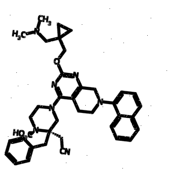 CN(C)CC1(COc2nc3c(c(N4CCN(C(=O)O)[C@](CC#N)(Cc5ccccc5)C4)n2)CCN(c2cccc4ccccc24)C3)CC1